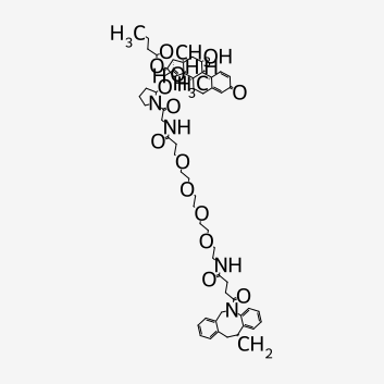 C=C1Cc2ccccc2CN(C(=O)CCC(=O)NCCOCCOCCOCCOCCC(=O)NCC(=O)N2CCCC2OCC(=O)[C@@]23OC(CCC)O[C@@H]2C[C@H]2[C@@H]4CCC5=CC(=O)C=C[C@]5(C)[C@H]4[C@@H](O)C[C@@]23C)c2ccccc21